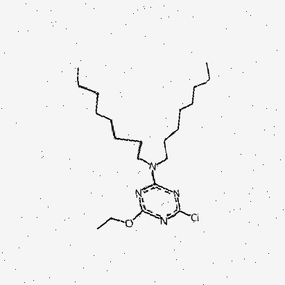 CCCCCCCCN(CCCCCCCC)c1nc(Cl)nc(OCC)n1